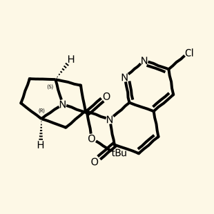 CC(C)(C)OC(=O)N1[C@@H]2CC[C@H]1CC(n1c(=O)ccc3cc(Cl)nnc31)C2